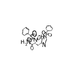 NC(=O)[C@H](Cc1cn(S(=O)(=O)c2ccccc2)cn1)N(O)S(=O)(=O)c1ccccc1